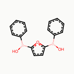 OB(c1ccccc1)c1ccc(B(O)c2ccccc2)o1